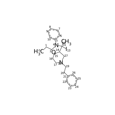 CCC(=O)N(c1ccccc1)C(C)(I)C1CCCN(CCc2ccccc2)C1